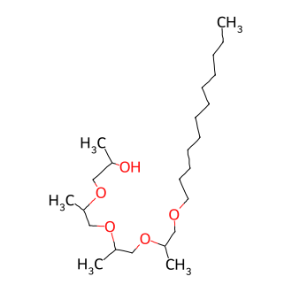 CCCCCCCCCCCCOCC(C)OCC(C)OCC(C)OCC(C)O